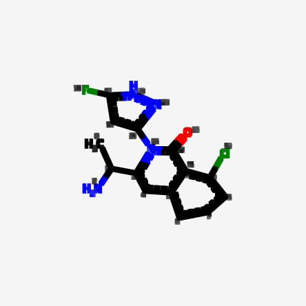 CC(N)c1cc2cccc(Cl)c2c(=O)n1-c1cc(F)[nH]n1